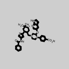 CC1(C)CCC(CN2CCN(c3ccc(C(=O)O)cc3)C(Oc3cnc4[nH]ccc4c3)C2)=C(c2cc(NC(=O)c3ccccc3)cs2)C1